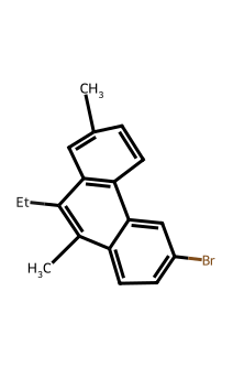 CCc1c(C)c2ccc(Br)cc2c2ccc(C)cc12